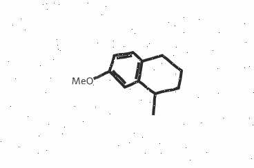 COc1ccc2c(c1)C(C)CCC2